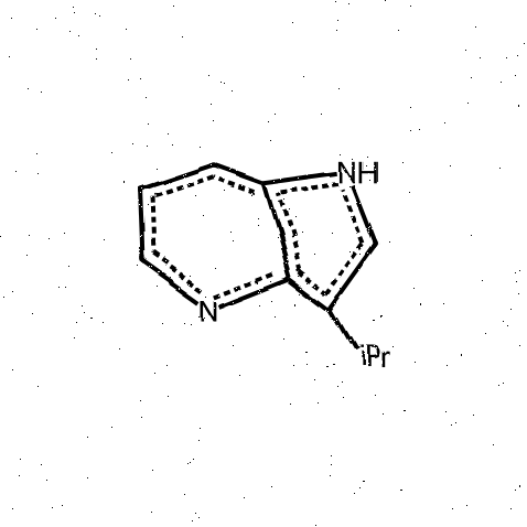 CC(C)c1c[nH]c2cccnc12